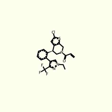 C=CC(=O)N1Cc2sc(Cl)cc2[C@H](c2ccccc2-c2cn(CC)nc2C(F)(F)F)C1